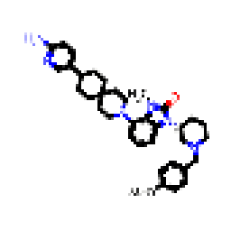 COc1ccc(CN2CCC[C@@H](n3c(=O)n(C)c4c(N5CCC6(CCC(c7ccc(N)nc7)CC6)CC5)cccc43)C2)cc1